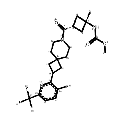 COC(=O)N[C@]1(C)C[C@H](C(=O)N2CCC3(CC2)CC(c2nc(C(F)(F)F)ccc2F)C3)C1